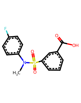 CN(c1ccc(F)cc1)S(=O)(=O)c1cccc(C(=O)O)c1